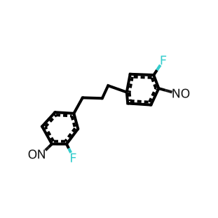 O=Nc1ccc(CCCc2ccc(N=O)c(F)c2)cc1F